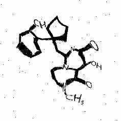 Cc1ccccc1C1(Cc2nc(=O)c(O)c3n2CCN(C)C3=O)CCCC1